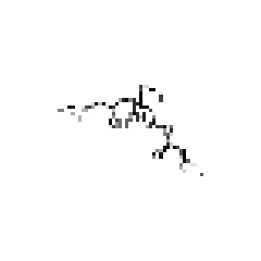 C=CC(=O)OCC[N+](C)(C)CC(O)CS(=O)(=O)O